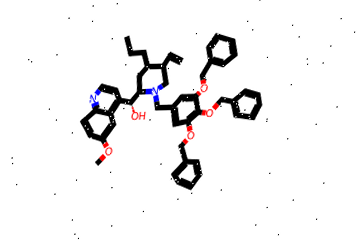 C=CC1CN(Cc2cc(OCc3ccccc3)c(OCc3ccccc3)c(OCc3ccccc3)c2)C([C@H](O)c2ccnc3ccc(OC)cc23)CC1CCC